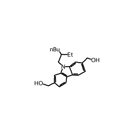 CCCCC(CC)Cn1c2cc(CO)ccc2c2ccc(CO)cc21